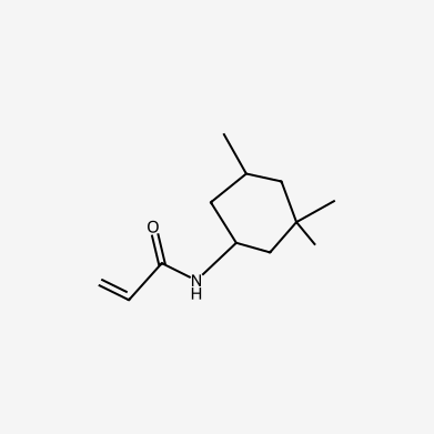 C=CC(=O)NC1CC(C)CC(C)(C)C1